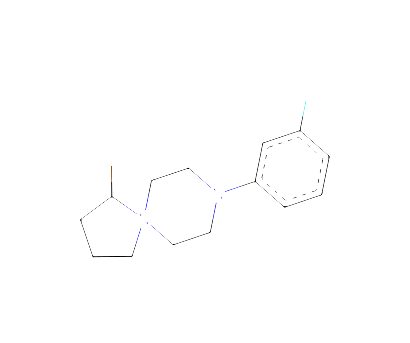 Fc1cccc(N2CC[N+]3(CCCC3Br)CC2)c1